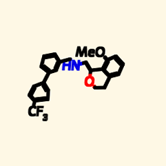 COc1cccc2c1C(CNCc1cccc(-c3ccc(C(F)(F)F)cc3)c1)OCC2